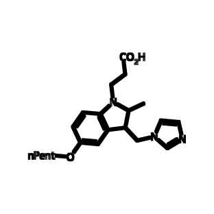 CCCCCOc1ccc2c(c1)C(Cn1ccnc1)C(C)N2CCC(=O)O